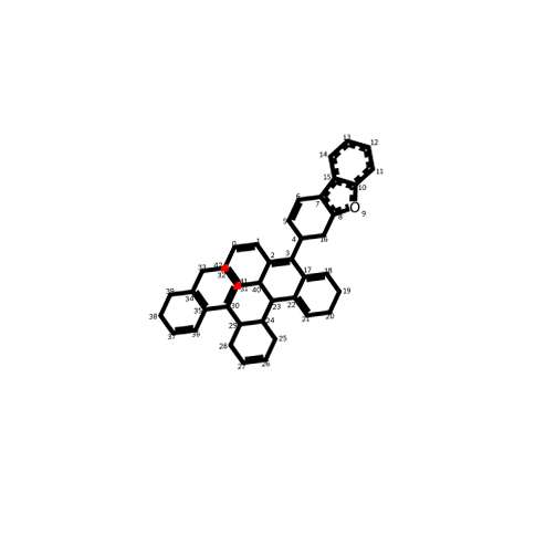 C1=CC2=C(C3C=Cc4c(oc5ccccc45)C3)C3=CCCC=C3C(C3CC=CCC3C3=CCCC4=C3C=CCC4)C2C=C1